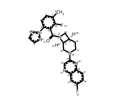 Cc1ccc(-n2nccn2)c(C(=O)N2C[C@H]3CCN(c4cnc5cc(F)ccc5n4)C[C@H]32)c1F